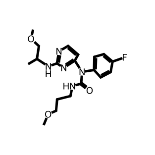 COCCCNC(=O)N(c1ccc(F)cc1)c1ccnc(NC(C)COC)n1